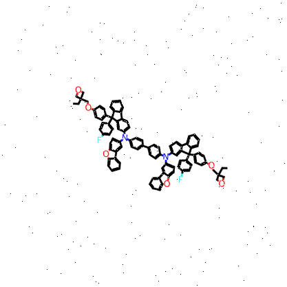 CCC1(COc2ccc(C3(c4ccc(F)cc4)c4ccccc4-c4ccc(N(c5ccc(-c6ccc(N(c7ccc8c(c7)C(c7ccc(F)cc7)(c7ccc(OCC9(CC)COC9)cc7)c7ccccc7-8)c7ccc8oc9ccccc9c8c7)cc6)cc5)c5ccc6oc7ccccc7c6c5)cc43)cc2)COC1